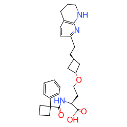 O=C(O)[C@H](CCO[C@H]1C[C@H](CCc2ccc3c(n2)NCCC3)C1)NC(=O)C1(c2ccccc2)CCC1